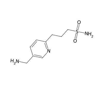 NCc1ccc(CCCS(N)(=O)=O)nc1